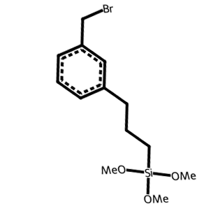 CO[Si](CCCc1cccc(CBr)c1)(OC)OC